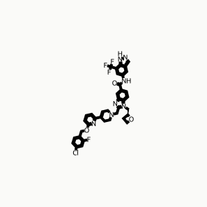 O=C(Nc1cc(C(F)(F)F)c2[nH]ncc2c1)c1ccc2c(c1)nc(CN1CC=C(c3cccc(OCc4ccc(Cl)cc4F)n3)CC1)n2C[C@@H]1CCO1